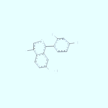 O=C(O)c1ccc2c(F)cnc(-c3ccc(Cl)cc3F)c2c1